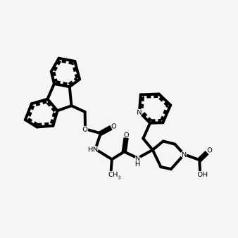 CC(NC(=O)OCC1c2ccccc2-c2ccccc21)C(=O)NC1(Cc2ccccn2)CCN(C(=O)O)CC1